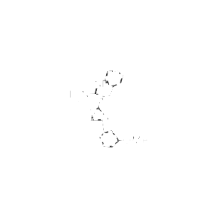 COc1cccc(-c2csc(N(Cc3ccccc3)C(=N)N)n2)c1